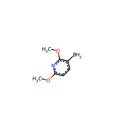 Bc1ccc(OC)nc1OC